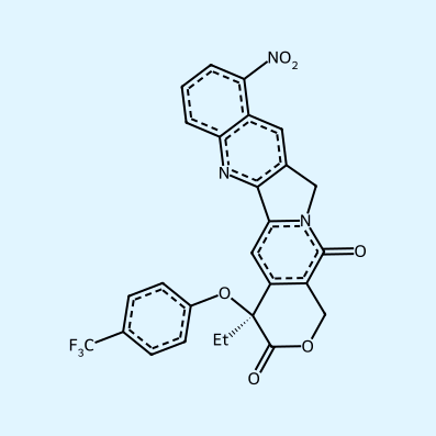 CC[C@@]1(Oc2ccc(C(F)(F)F)cc2)C(=O)OCc2c1cc1n(c2=O)Cc2cc3c([N+](=O)[O-])cccc3nc2-1